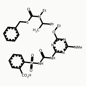 CCN(C(=O)SCc1ccccc1)C(C)C(C)C.CCOc1nc(NC)nc(NC(=O)NS(=O)(=O)c2ccccc2C(=O)O)n1